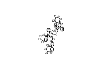 CC1(COOC(=O)Cc2ccccc2[N+](=O)[O-])C(=O)N(C2CCCCO2)C1CCOC1CCCCO1